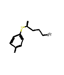 Cc1ccc(SC(C)CCCC(C)C)cc1